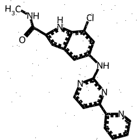 CNC(=O)c1cc2cc(Nc3nccc(-c4ccccn4)n3)cc(Cl)c2[nH]1